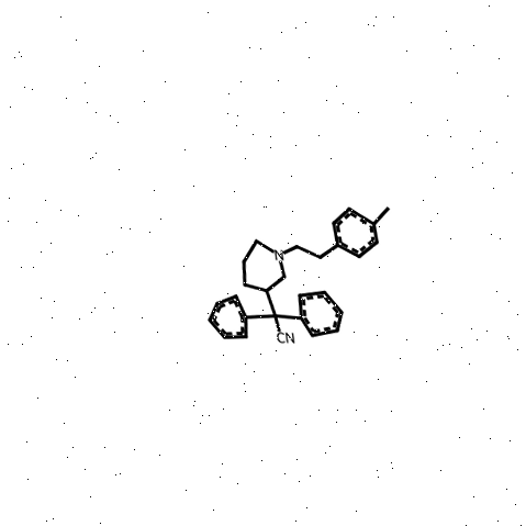 Cc1ccc(CCN2CCCC(C(C#N)(c3ccccc3)c3ccccc3)C2)cc1